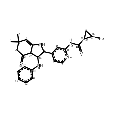 CC1(C)C=C2NC(c3ccnc(NC(=O)[C@H]4C[C@H]4F)c3)C(Nc3ccccc3)C2C(=O)C1